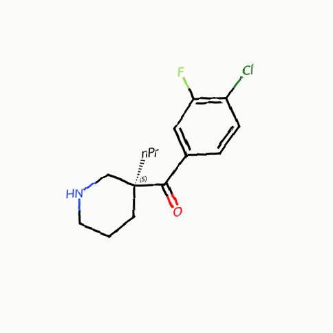 CCC[C@]1(C(=O)c2ccc(Cl)c(F)c2)CCCNC1